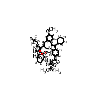 COc1ccc2c(c1)C=C(c1c(C(=O)N3[C@@H]4CC[C@H]3C[C@@](C)(O)C4)cnn1CC(F)(F)F)Cn1c-2c(C2CCCCC2)c2ccc(C(=O)NS(=O)(=O)C(C)C)cc21